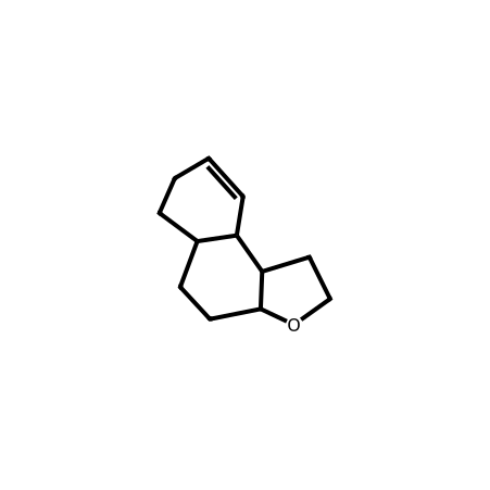 C1=CC2C(CC1)CCC1OCCC12